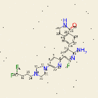 Nc1nc(F)c(-c2ccc(N3CCN(CCCC(F)F)CC3)cn2)cc1-c1ccc2c(c1)CCNC2=O